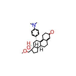 COC[C@]1(O)CC[C@H]2[C@@H]3CCC4=CC(=O)CCC4=C3[C@@H](c3ccc(N(C)C)cc3)C[C@@]21C